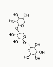 OC1O[C@H](COC2OC[C@H](OC3OC[C@@H](O)[C@H](O)[C@H]3O)[C@H](O)[C@H]2O)[C@@H](O)[C@H](O)[C@H]1O